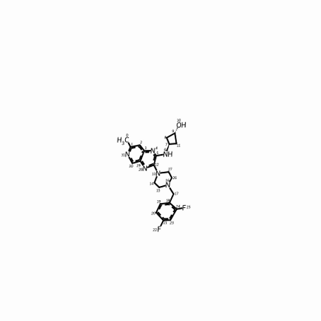 Cc1cc2nc(N[C@H]3C[C@H](O)C3)c(N3CCN(Cc4ccc(F)cc4F)CC3)nc2cn1